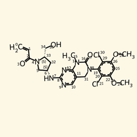 C=CC(=O)N1C[C@@H](Nc2ncc3c(n2)N(C)C(=O)N(c2c(Cl)c(OC)cc(OC)c2Cl)C3)C[C@H]1CO